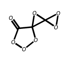 O=C1OOOC12OC21OO1